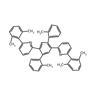 Cc1ccccc1-c1cc(-c2cccc(-c3c(C)cccc3C)n2)c(-c2ccccc2C)cc1-c1cccc(-c2c(C)cccc2C)n1